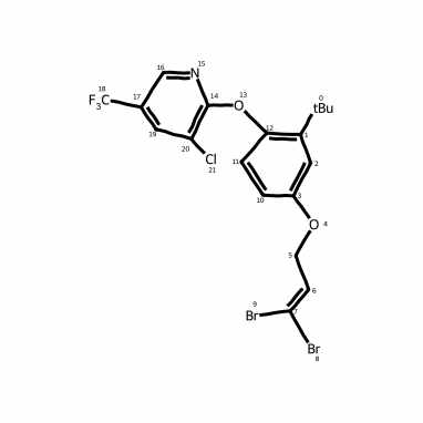 CC(C)(C)c1cc(OCC=C(Br)Br)ccc1Oc1ncc(C(F)(F)F)cc1Cl